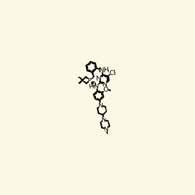 COc1cc(N2CCC(N3CCN(C)CC3)CC2)ccc1Nc1ncc(Cl)c(Nc2ccccc2CP2(=O)CC(C)(C)C2)n1